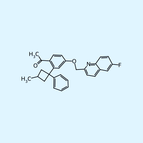 CC(=O)c1ccc(OCc2ccc3cc(F)ccc3n2)cc1C1(c2ccccc2)CC(C)C1